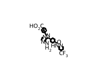 Nc1nccn2c(C34CCC(C(=O)O)(CC3)CC4)nc(-c3ccc(C(=O)Nc4cc(C(F)(F)F)ccn4)cc3)c12